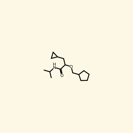 CC(C)NC(=O)C(CC1CC1)OCC1CCCC1